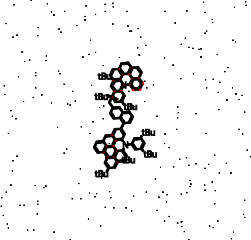 CC(C)(C)c1cc(-c2cccc3cccc(-c4ccccc4N(c4cc(C(C)(C)C)cc(C(C)(C)C)c4)c4cc(-c5cccc6cc(CC(C)(C)c7cc(-c8cccc9cccc(-c%10ccccc%10N(c%10cc(C(C)(C)C)cc(C(C)(C)C)c%10)c%10ccccc%10-c%10ccccc%10)c89)cc(C(C)(C)C)c7)ccc56)ccc4-c4ccccc4)c23)cc(C(C)(C)C)c1